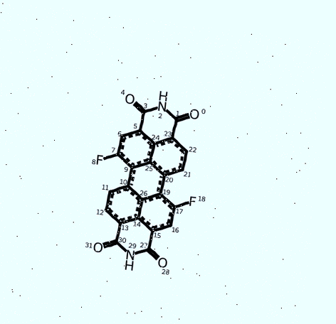 O=C1NC(=O)c2cc(F)c3c4ccc5c6c(cc(F)c(c7ccc1c2c73)c64)C(=O)NC5=O